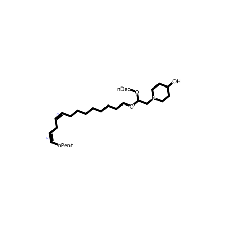 CCCCC/C=C\C/C=C\CCCCCCCCOC(CN1CCC(O)CC1)OCCCCCCCCCC